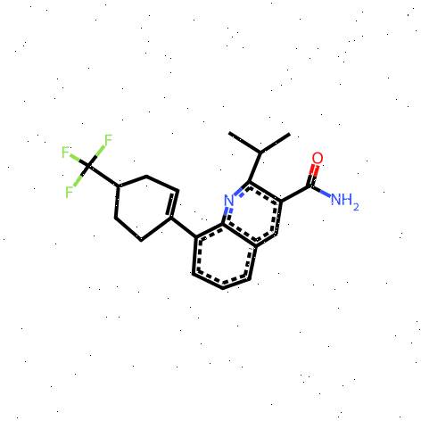 CC(C)c1nc2c(C3=CCC(C(F)(F)F)CC3)cccc2cc1C(N)=O